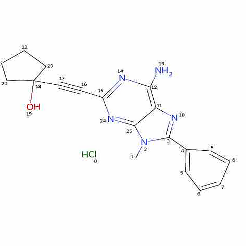 Cl.Cn1c(-c2ccccc2)nc2c(N)nc(C#CC3(O)CCCC3)nc21